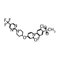 CS(=O)(=O)c1cc(F)c(-n2ccc(OC3CCN(c4ncc(C(F)(F)F)cn4)CC3)cc2=O)cc1Cl